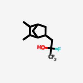 CC1C2CC(CC(O)(F)C(F)(F)F)C(C2)C1C